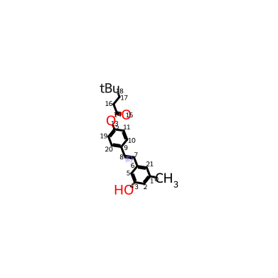 Cc1cc(O)cc(/C=C/c2ccc(OC(=O)CCC(C)(C)C)cc2)c1